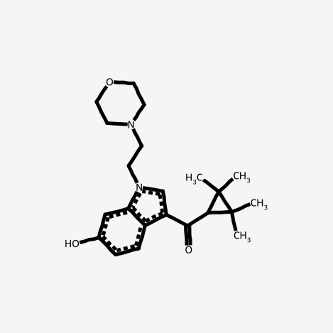 CC1(C)C(C(=O)c2cn(CCN3CCOCC3)c3cc(O)ccc23)C1(C)C